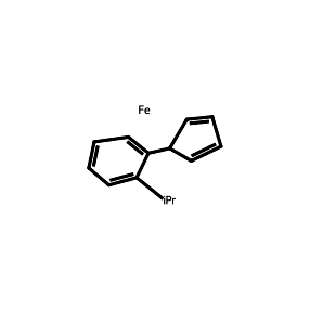 CC(C)c1ccccc1C1C=CC=C1.[Fe]